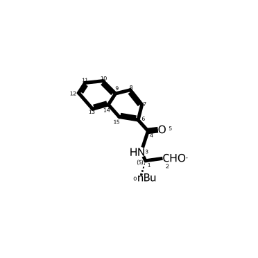 CCCC[C@@H]([C]=O)NC(=O)c1ccc2ccccc2c1